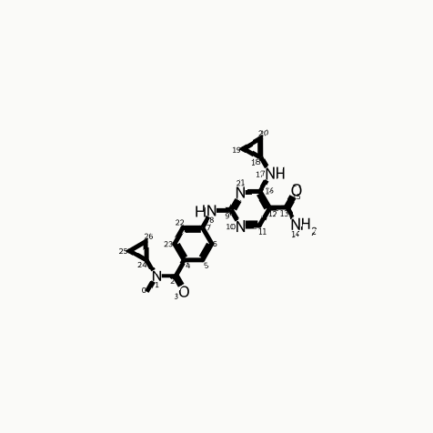 CN(C(=O)c1ccc(Nc2ncc(C(N)=O)c(NC3CC3)n2)cc1)C1CC1